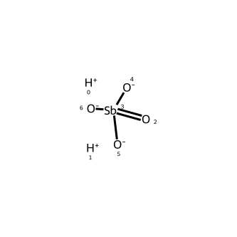 [H+].[H+].[O]=[Sb]([O-])([O-])[O-]